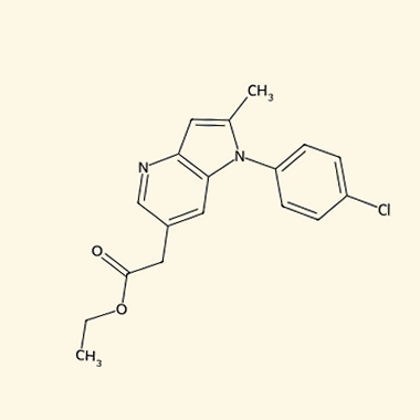 CCOC(=O)Cc1cnc2cc(C)n(-c3ccc(Cl)cc3)c2c1